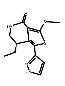 CC[C@H]1CNC(=O)c2c(SC)sc(-c3cc[nH]n3)c21